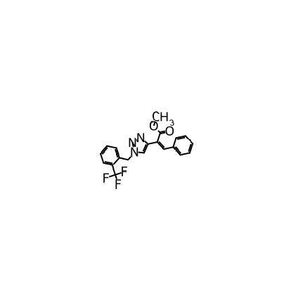 COC(=O)C(=Cc1ccccc1)c1cn(Cc2ccccc2C(F)(F)F)nn1